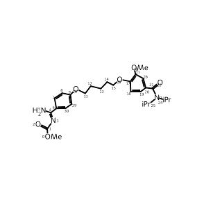 COC(=O)N=C(N)c1ccc(OCCCCCOc2ccc(C(=O)N(C(C)C)C(C)C)cc2OC)cc1